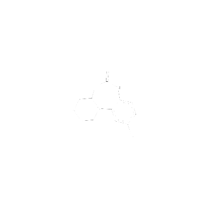 O=C1CC2CNCCN2c2cc(Br)ccc2N1